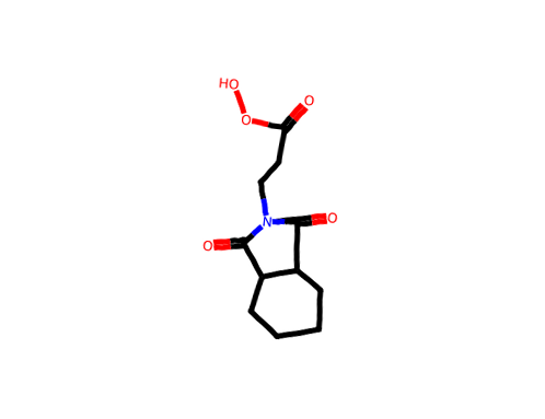 O=C(CCN1C(=O)C2CCCCC2C1=O)OO